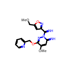 COCc1cc(C(=N)n2nc(OCc3ccccn3)c(OC)cc2=N)no1